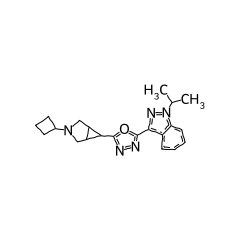 CC(C)n1nc(-c2nnc(C3C4CN(C5CCC5)CC43)o2)c2ccccc21